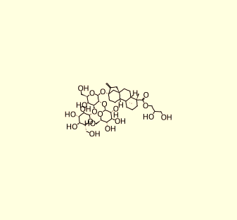 C=C1C[C@@]23CC[C@H]4[C@@](C)(CCC[C@@]4(C)C(=O)OC[C@H](O)CO)[C@@H]2CC[C@]1(O[C@@H]1O[C@H](CO)[C@@H](O)[C@H](O[C@@H]2O[C@H](CO)[C@@H](O)[C@H](O)[C@H]2O)[C@H]1O[C@@H]1O[C@H](CO)[C@@H](O)[C@H](O)[C@H]1O)C3